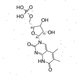 Cc1c(C)c2cn([C@@H]3O[C@H](COP(=O)(O)O)C(O)[C@@H]3O)c(=O)nc2[nH]c1=O